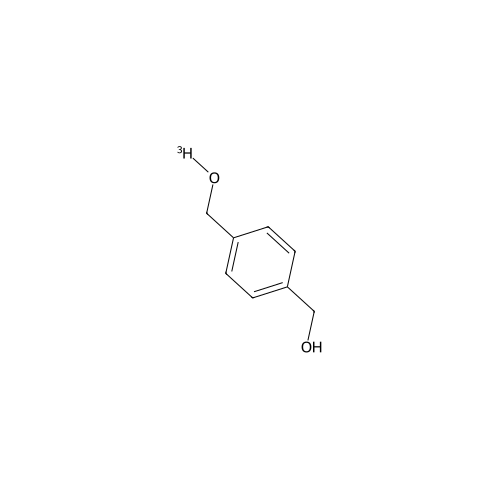 [3H]OCc1ccc(CO)cc1